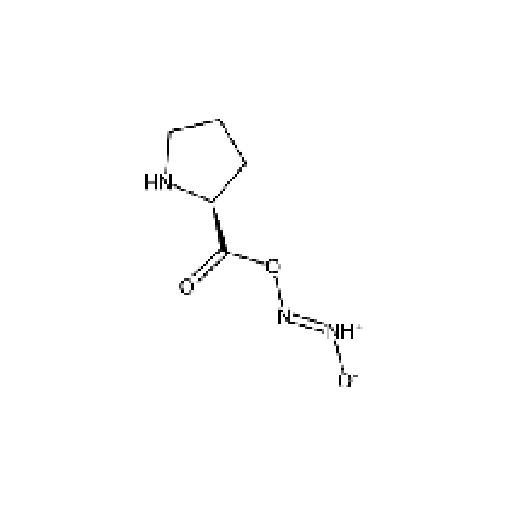 O=C(ON=[NH+][O-])[C@@H]1CCCN1